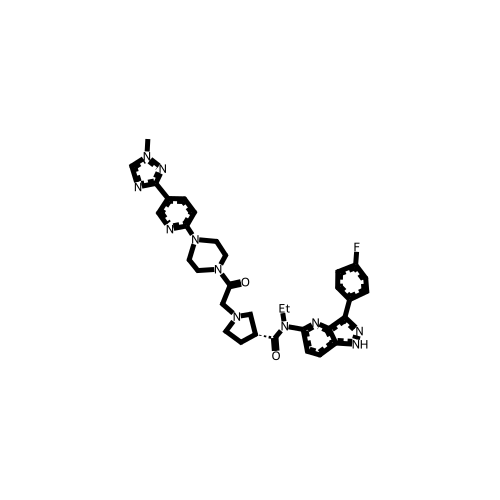 CCN(C(=O)[C@@H]1CCN(CC(=O)N2CCN(c3ccc(-c4ncn(C)n4)cn3)CC2)C1)c1ccc2[nH]nc(-c3ccc(F)cc3)c2n1